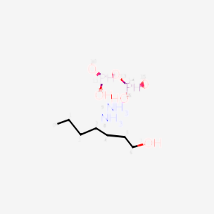 CCCCCCCO.N.N.O=[PH](O)O[PH](=O)O